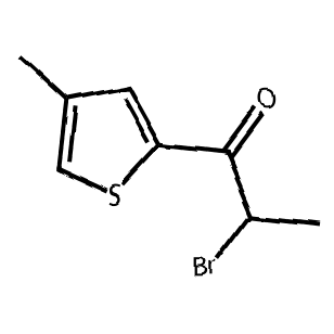 Cc1csc(C(=O)C(C)Br)c1